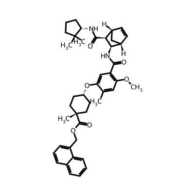 COc1cc(C)c(O[C@H]2CC[C@@](C)(C(=O)OCc3cccc4ccccc34)CC2)cc1C(=O)N[C@H]1[C@@H](C(=O)N[C@H]2CCCC2(C)C)[C@@H]2C=C[C@H]1C2